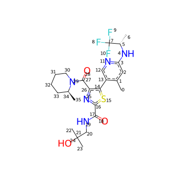 Cc1cc(N[C@@H](C)C(F)(F)F)ncc1-c1sc(C(=O)NCC(C)(C)O)nc1C(=O)N1CCCC[C@@H]1C